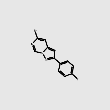 Fc1ccc(-c2cc3cc(Br)ncn3n2)cc1